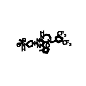 Cc1ccccc1-c1nc(N2CCC(NS(C)(=O)=O)CC2)nc2c1C(=O)N(Cc1cc(C(F)(F)F)cc(C(F)(F)F)c1)CCCN2